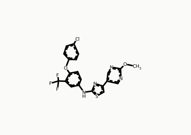 COc1ncc(-c2csc(Nc3ccc(Oc4ccc(Cl)cc4)c(C(F)(F)F)c3)n2)cn1